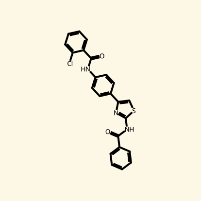 O=C(Nc1nc(-c2ccc(NC(=O)c3ccccc3Cl)cc2)cs1)c1ccccc1